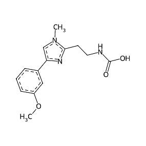 COc1cccc(-c2cn(C)c(CCNC(=O)O)n2)c1